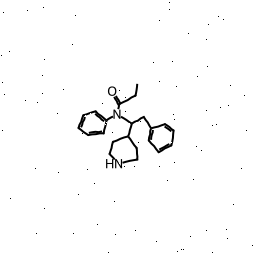 CCC(=O)N(c1ccccc1)C(Cc1ccccc1)C1CCNCC1